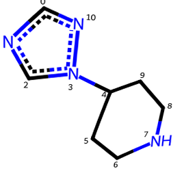 c1ncn(C2CCNCC2)n1